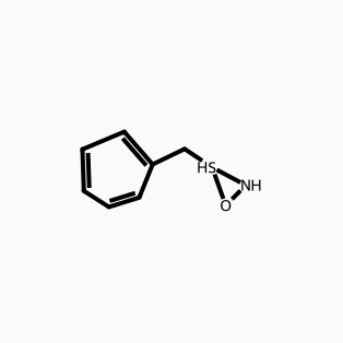 c1ccc(C[SH]2NO2)cc1